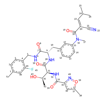 Cc1ccc(CNC(=O)[C@H](Cc2cccc(N(C)C(=O)C(C#N)=CC(C)C)c2)NC(=O)[C@@H](NC(=O)c2cc(C)on2)[C@@H](C)O)c(F)c1